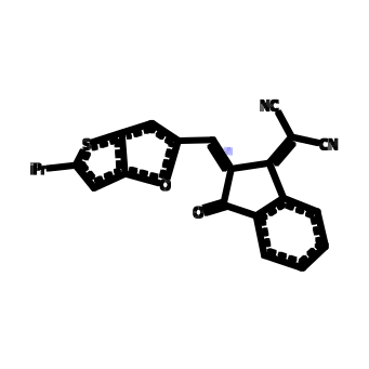 CC(C)c1cc2oc(/C=C3\C(=O)c4ccccc4C3=C(C#N)C#N)cc2s1